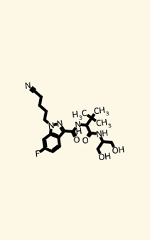 CC(C)(C)C(NC(=O)c1nn(CCCCC#N)c2cc(F)ccc12)C(=O)NC(CO)CO